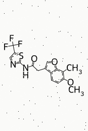 COc1ccc2c(CC(=O)Nc3ncc(C(F)(F)F)s3)coc2c1C